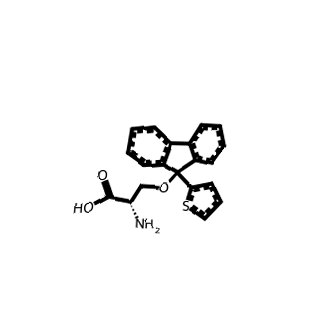 N[C@@H](COC1(c2cccs2)c2ccccc2-c2ccccc21)C(=O)O